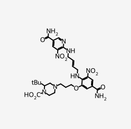 CC(C)(C)C1CN(CCCOc2cc(C(N)=O)cc([N+](=O)[O-])c2NCC=CCNc2ncc(C(N)=O)cc2[N+](=O)[O-])CCN1C(=O)O